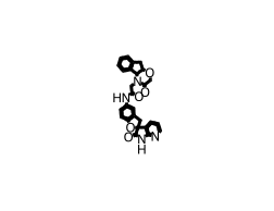 O=C(CN1C(=O)COC2Cc3ccccc3C21)Nc1ccc2c(c1)CC1(O2)C(=O)Nc2ncccc21